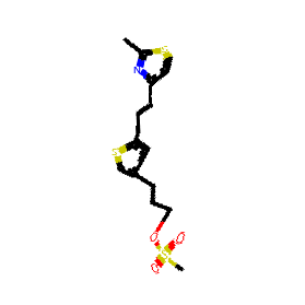 Cc1nc(CCc2cc(CCCOS(C)(=O)=O)cs2)cs1